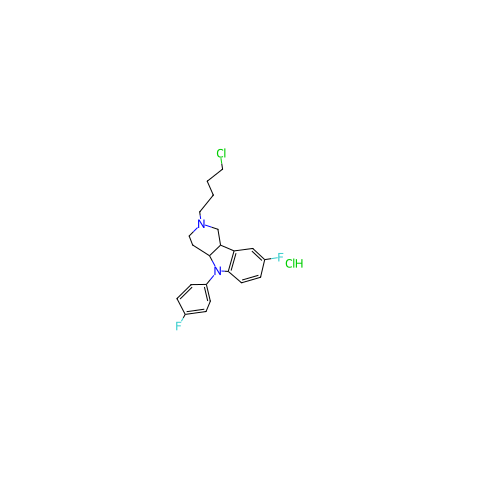 Cl.Fc1ccc(N2c3ccc(F)cc3C3CN(CCCCCl)CCC32)cc1